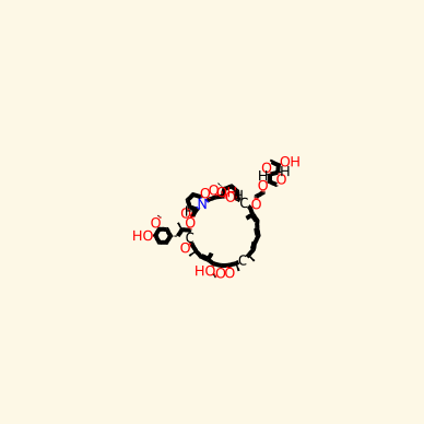 CO[C@@H]1C[C@H](C[C@@H](C)[C@@H]2CC(=O)[C@H](C)/C=C(\C)[C@@H](O)[C@@H](OC)C(=O)[C@H](C)C[C@H](C)/C=C/C=C/C=C(\C)[C@@H](OCCO[C@@H]3CO[C@H]4[C@@H]3OC[C@H]4O)C[C@@H]3CC[C@@H](C)[C@@](O)(O3)C(=O)C(=O)N3CCCC[C@H]3C(=O)O2)CC[C@H]1O